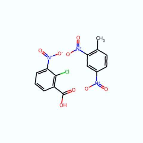 Cc1ccc([N+](=O)[O-])cc1[N+](=O)[O-].O=C(O)c1cccc([N+](=O)[O-])c1Cl